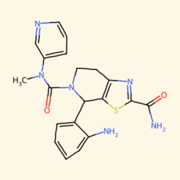 CN(C(=O)N1CCc2nc(C(N)=O)sc2C1c1ccccc1N)c1cccnc1